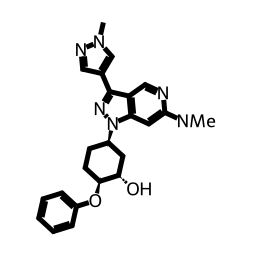 CNc1cc2c(cn1)c(-c1cnn(C)c1)nn2[C@@H]1CC[C@H](Oc2ccccc2)[C@@H](O)C1